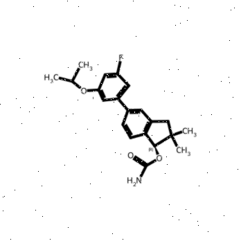 CC(C)Oc1cc(F)cc(-c2ccc3c(c2)CC(C)(C)[C@H]3OC(N)=O)c1